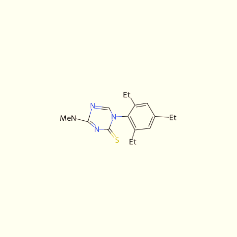 CCc1cc(CC)c(-n2cnc(NC)nc2=S)c(CC)c1